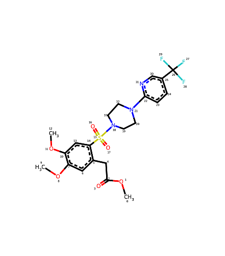 COC(=O)Cc1cc(OC)c(OC)cc1S(=O)(=O)N1CCN(c2ccc(C(F)(F)F)cn2)CC1